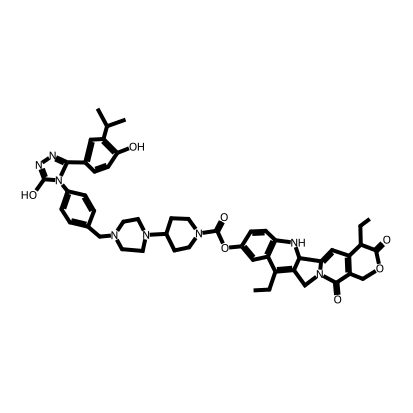 CCC1=C2Cn3c(cc4c(c3=O)COC(=O)C4CC)C2Nc2ccc(OC(=O)N3CCC(N4CCN(Cc5ccc(-n6c(O)nnc6-c6ccc(O)c(C(C)C)c6)cc5)CC4)CC3)cc21